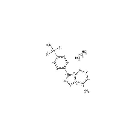 CCC(N)(CC)c1ccc(-n2ncc3c(N)cccc32)cc1.Cl.Cl.Cl